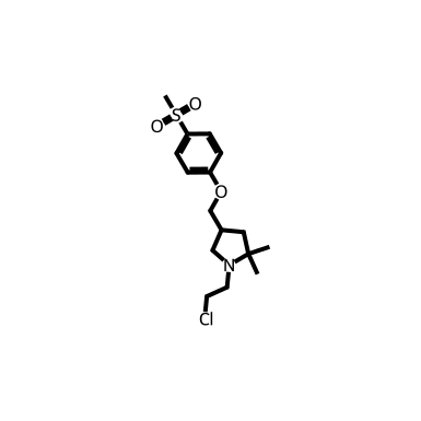 CC1(C)CC(COc2ccc(S(C)(=O)=O)cc2)CN1CCCl